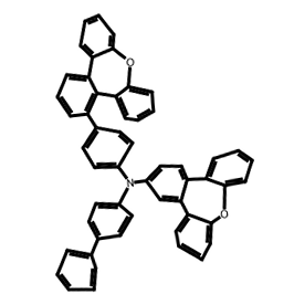 c1ccc(-c2ccc(N(c3ccc(-c4cccc5c4-c4ccccc4Oc4ccccc4-5)cc3)c3ccc4c(c3)-c3ccccc3Oc3ccccc3-4)cc2)cc1